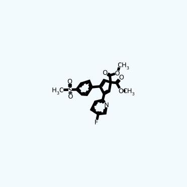 COC(=O)C1(C(=O)OC)C=C(c2ccc(S(C)(=O)=O)cc2)C(c2ccc(F)cn2)=C1